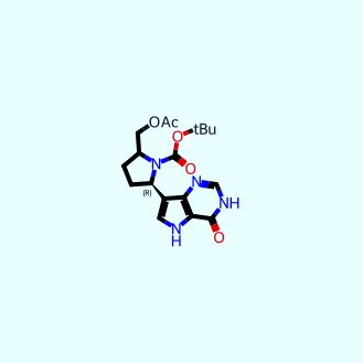 CC(=O)OCC1CC[C@H](c2c[nH]c3c(=O)[nH]cnc23)N1C(=O)OC(C)(C)C